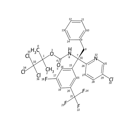 CC(C)(OC(=O)N[C@@](Cc1ccccc1)(c1cc(F)cc(C(F)(F)F)c1)c1ccc(Cl)cn1)C(Cl)(Cl)Cl